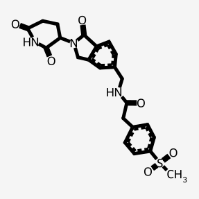 CS(=O)(=O)c1ccc(CC(=O)NCc2ccc3c(c2)CN(C2CCC(=O)NC2=O)C3=O)cc1